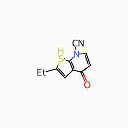 CCC1=Cc2c(n(C#N)ccc2=O)[SH]1